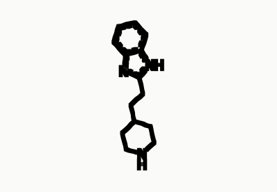 c1ccc2[nH]c(CCC3CCNCC3)nc2c1